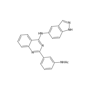 CC(=O)Nc1cccc(-c2nc(Nc3ccc4[nH]ncc4c3)c3ccccc3n2)c1